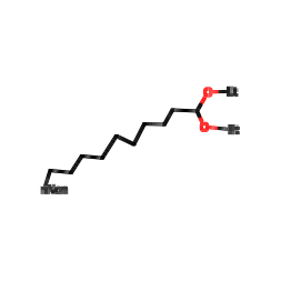 CCCCCCCCCCCCCCCCCCC(OCC)OCC